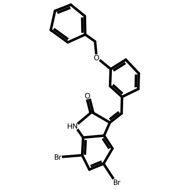 O=C1Nc2c(Br)cc(Br)cc2C1=Cc1cccc(OCc2ccccc2)c1